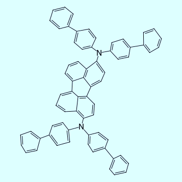 c1ccc(-c2ccc(N(c3ccc(-c4ccccc4)cc3)c3ccc4c5ccc(N(c6ccc(-c7ccccc7)cc6)c6ccc(-c7ccccc7)cc6)c6cccc(c7cccc3c74)c65)cc2)cc1